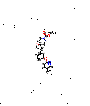 CC(C)(C)OC(=O)N1CCC2(CC1)C[C@@H](c1cccc(Oc3ccc(C(F)(F)F)cn3)c1)CO2